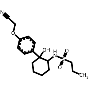 CCCS(=O)(=O)NC1CCCCC1(O)c1ccc(OCC#N)cc1